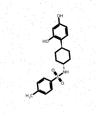 Cc1ccc(S(=O)(=O)N[C@H]2CC[C@H](c3ccc(O)cc3O)CC2)cc1